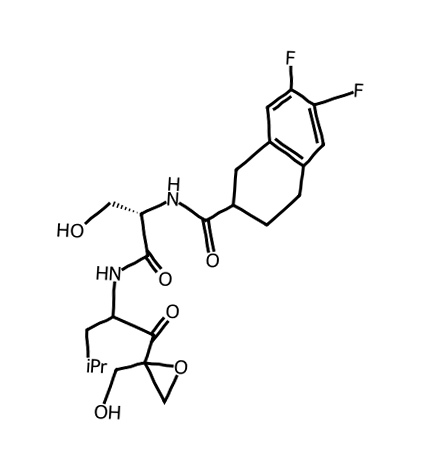 CC(C)CC(NC(=O)[C@H](CO)NC(=O)C1CCc2cc(F)c(F)cc2C1)C(=O)C1(CO)CO1